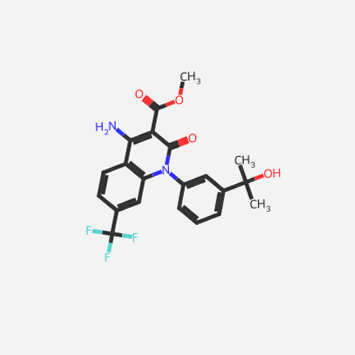 COC(=O)c1c(N)c2ccc(C(F)(F)F)cc2n(-c2cccc(C(C)(C)O)c2)c1=O